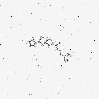 CC(C)CCOC(=O)C1COC(CC(=O)c2ccco2)=N1